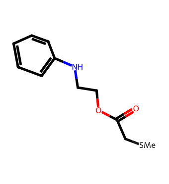 CSCC(=O)OCCNc1ccccc1